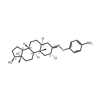 C[C@]12C[C@@H](Cl)/C(=N\Oc3ccc([N+](=O)[O-])cc3)C[C@@H]1CC[C@@H]1[C@@H]2CC[C@]2(C)[C@@H](O)CC[C@@H]12